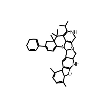 CC1=CC=C(C)C2C3=C(NC4CN5C6=C7C(=C(C(C)C)NC6)C(C)(C)C6(C)CC(C8=CCCC=C8)=CC=C6N7C5C4=C3)OC12